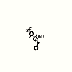 Br.Cc1cc([N+](=O)[O-])ccc1N1CCN(C2CC2c2ccccc2)CC1C